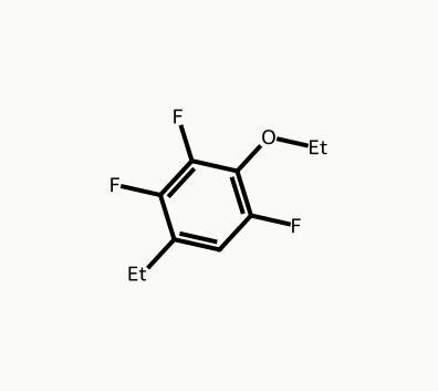 CCOc1c(F)cc(CC)c(F)c1F